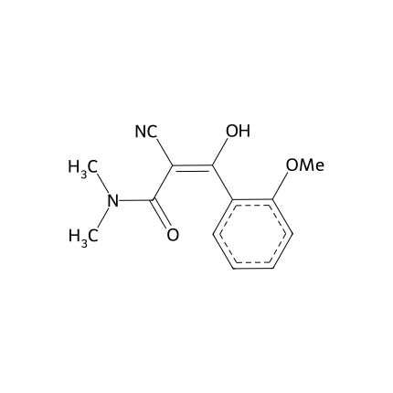 COc1ccccc1C(O)=C(C#N)C(=O)N(C)C